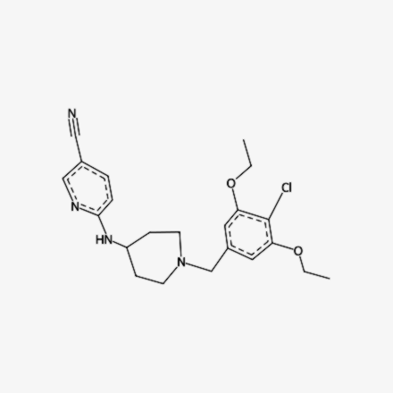 CCOc1cc(CN2CCC(Nc3ccc(C#N)cn3)CC2)cc(OCC)c1Cl